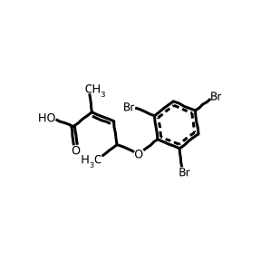 CC(=CC(C)Oc1c(Br)cc(Br)cc1Br)C(=O)O